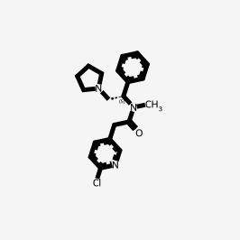 CN(C(=O)Cc1ccc(Cl)nc1)[C@H](CN1CCCC1)c1ccccc1